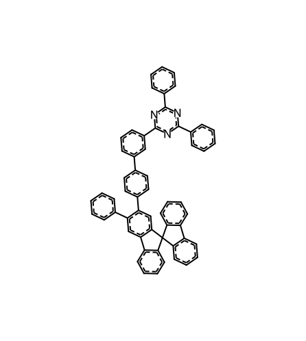 c1ccc(-c2nc(-c3ccccc3)nc(-c3cccc(-c4ccc(-c5cc6c(cc5-c5ccccc5)-c5ccccc5C65c6ccccc6-c6ccccc65)cc4)c3)n2)cc1